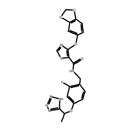 CC(Oc1ccc(CNC(=O)c2scnc2Oc2ccc3c(c2)OCO3)c(F)c1)c1nnn[nH]1